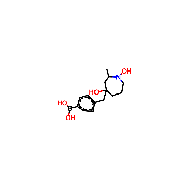 CC1CC(O)(Cc2ccc(B(O)O)cc2)CCCN1O